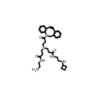 NCCNC(=O)CCN(CCC(=O)NCCNC1CCC1)CCC(=O)N1Cc2ccccc2C#Cc2ccccc21